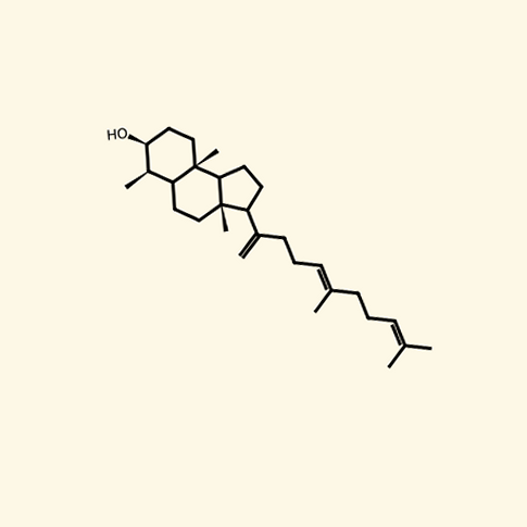 C=C(CC/C=C(\C)CCC=C(C)C)C1CCC2[C@@]1(C)CCC1[C@@H](C)[C@@H](O)CC[C@@]12C